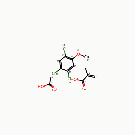 C=C(C)C(=O)O.CC(=O)O.Clc1cc(Cl)c([O][Cu])cc1Cl